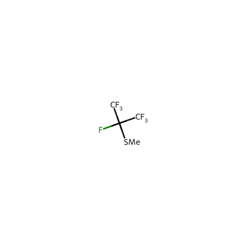 CSC(F)(C(F)(F)F)C(F)(F)F